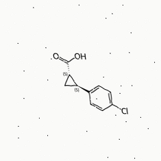 O=C(O)[C@H]1C[C@@H]1c1ccc(Cl)cc1